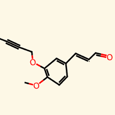 CC#CCOc1cc(/C=[C]/C=O)ccc1OC